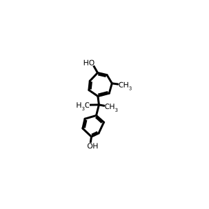 CC1C=C(O)C=CC(C(C)(C)c2ccc(O)cc2)=C1